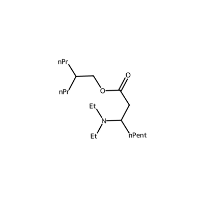 CCCCCC(CC(=O)OCC(CCC)CCC)N(CC)CC